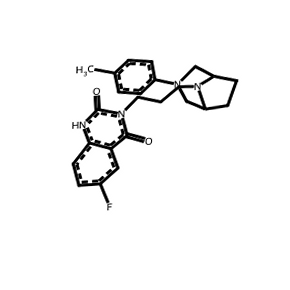 Cc1ccc(N2CC3CCC(C2)N3CCCn2c(=O)[nH]c3ccc(F)cc3c2=O)cc1